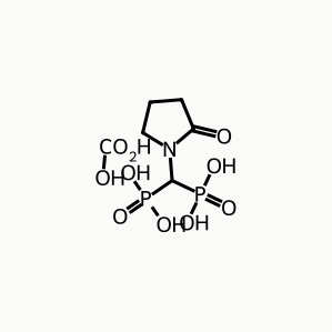 O=C(O)O.O=C1CCCN1C(P(=O)(O)O)P(=O)(O)O